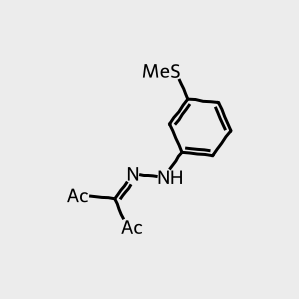 CSc1cccc(NN=C(C(C)=O)C(C)=O)c1